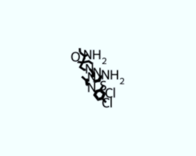 Cc1cnc2c(Sc3cccc(Cl)c3Cl)c(N)nc(N3CCC4(CC3)COC(C)C4N)n12